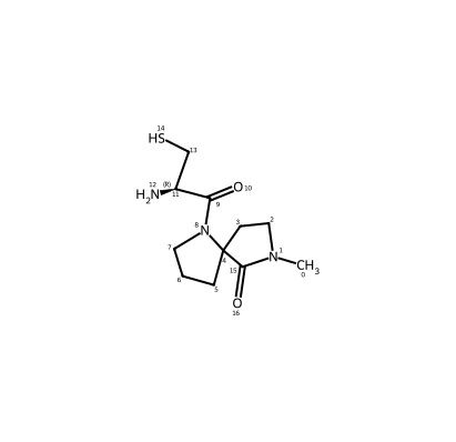 CN1CCC2(CCCN2C(=O)[C@@H](N)CS)C1=O